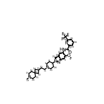 COc1cc2nn(C3CCN(CCC4CC5(CCN(C)CC5)C4)CC3)cc2cc1NC(=O)c1cccc(C(F)(F)F)n1